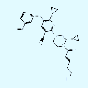 C=Cc1ccnc(Nc2cc(C#N)c(N3CCN(C(=O)C=CCCO)[C@H](C4CC4)C3)nc2C2CC2)c1